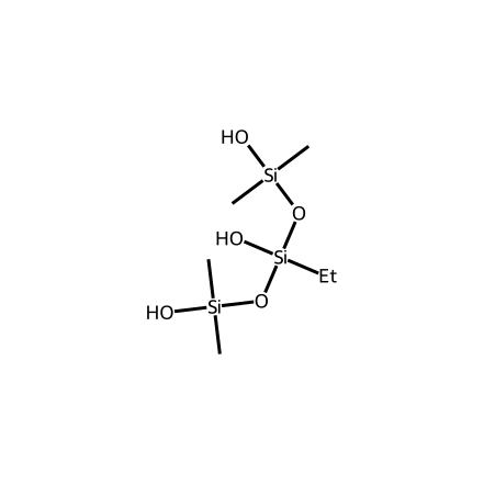 CC[Si](O)(O[Si](C)(C)O)O[Si](C)(C)O